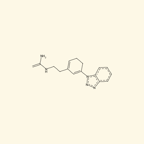 C=C(N)NCCC1=CCCC(n2nnc3ccccc32)=C1